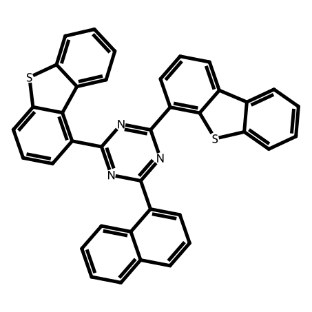 c1ccc2c(-c3nc(-c4cccc5c4sc4ccccc45)nc(-c4cccc5sc6ccccc6c45)n3)cccc2c1